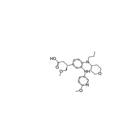 CCCN(c1ccc([C@@H](COC)CC(=O)O)cc1Nc1ccc(OC)nc1)C1CCOCC1